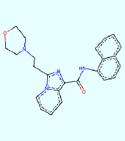 O=C(Nc1cccc2ccccc12)c1nc(CCN2CCOCC2)n2ccccc12